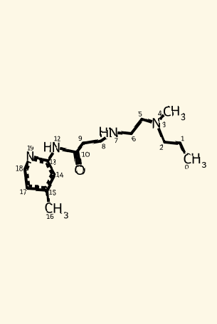 CCCN(C)CCNCCC(=O)Nc1cc(C)ccn1